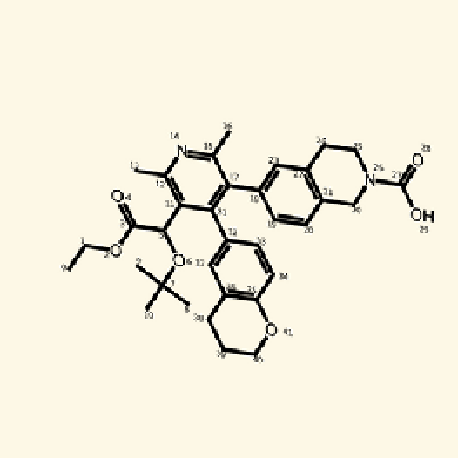 CCOC(=O)C(OC(C)(C)C)c1c(C)nc(C)c(-c2ccc3c(c2)CCN(C(=O)O)C3)c1-c1ccc2c(c1)CCCO2